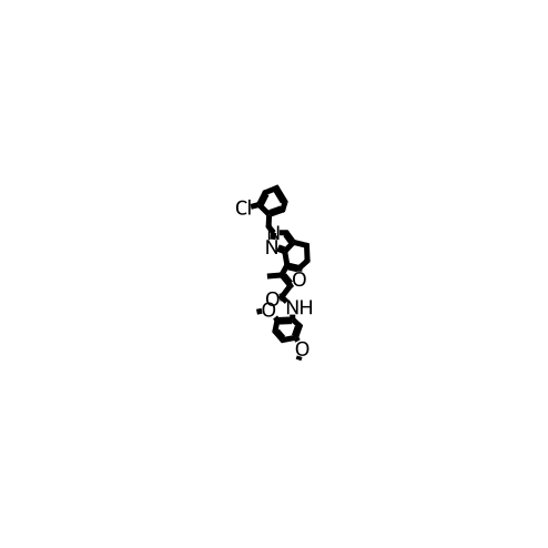 COc1ccc(OC)c(NC(=O)c2oc3c(c2C)-c2nn(Cc4ccccc4Cl)cc2CC3)c1